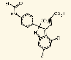 CCC(=O)Nc1ccc(C2(C(=O)O)N=c3cc(Cl)cc(Cl)c3=C2C=CC(=O)O)cc1